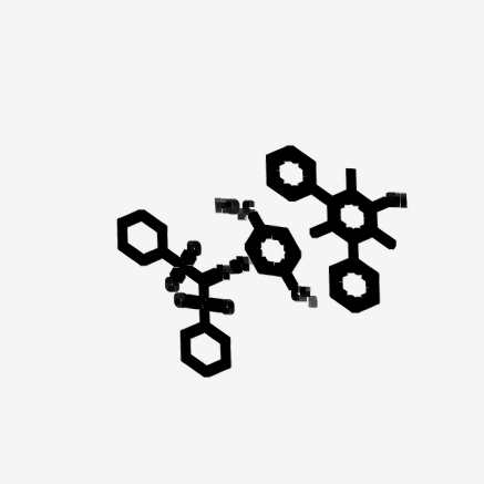 Cc1c(S)c(C)c(-c2ccccc2)c(C)c1-c1ccccc1.O=C(O)c1ccc(C(F)(F)F)cc1.[N-]=[N+]=C(S(=O)(=O)C1CCCCC1)S(=O)(=O)C1CCCCC1